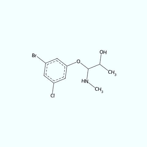 CNC(Oc1cc(Cl)cc(Br)c1)C(C)O